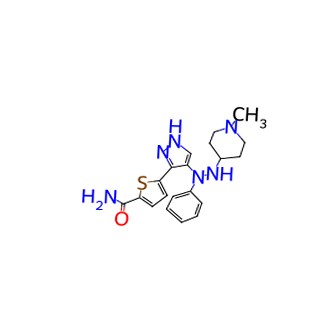 CN1CCC(NN(c2ccccc2)c2c[nH]nc2-c2ccc(C(N)=O)s2)CC1